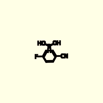 N#Cc1ccc(F)cc1.OBO